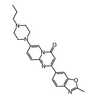 CCCN1CCN(c2ccc3nc(-c4ccc5nc(C)oc5c4)cc(=O)n3c2)CC1